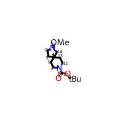 CON1CCC2(CCN(C(=O)OC(C)(C)C)CC2)C1